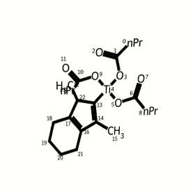 CCCC(=O)[O][Ti]([O]C(=O)CCC)([O]C(=O)CCC)[C]1=C(C)C2=C(CCCC2)C1C